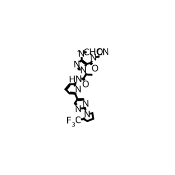 CC(C(=O)Nc1cccc(-c2cnc(N3CCCC3C(F)(F)F)nc2)n1)n1cnc(N(C)C=O)c1C(=O)N(C)CC#N